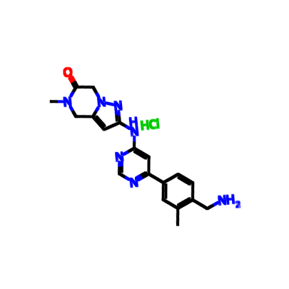 Cc1cc(-c2cc(Nc3cc4n(n3)CC(=O)N(C)C4)ncn2)ccc1CN.Cl